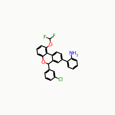 Nc1ccccc1-c1ccc2c(c1)C(c1cccc(Cl)c1)Oc1cccc(OC(F)F)c1-2